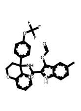 Cc1ccc2[nH]c(C(=O)NC3(c4ccc(OC(F)(F)F)cc4)CCOc4cccnc43)c(OC=O)c2c1